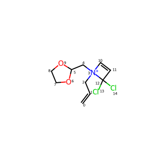 C=CC[N+]1(CC2OCCO2)C=CC1(Cl)Cl